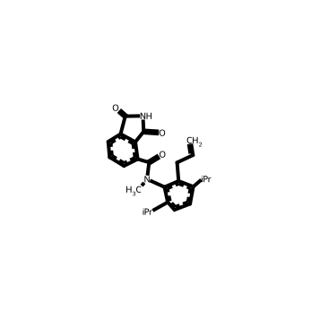 C=CCc1c(C(C)C)ccc(C(C)C)c1N(C)C(=O)c1cccc2c1C(=O)NC2=O